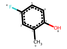 Cc1cc(F)[c]cc1O